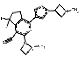 C[C@H]1CCN1c1nc(-c2cnn(C3CN(C)C3)c2)c2c(c1C#N)C(F)(F)CC2